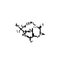 [2H]C([2H])([2H])n1nc(Br)c(CN(C)C(=O)OC(C)(C)C)n1